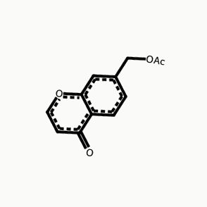 CC(=O)OCc1ccc2c(=O)ccoc2c1